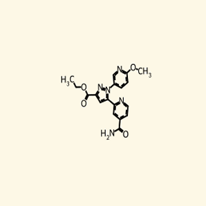 CCOC(=O)c1cc(-c2cc(C(N)=O)ccn2)n(-c2ccc(OC)nc2)n1